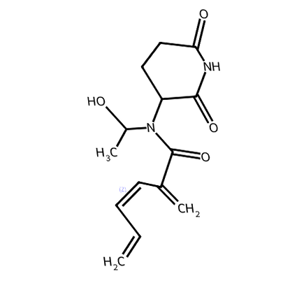 C=C/C=C\C(=C)C(=O)N(C(C)O)C1CCC(=O)NC1=O